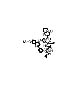 C=C[C@H]1C[C@]1(NC(=O)[C@@H]1C[C@@H](Oc2cc(-c3ccccc3)nc3cc(OC)ccc23)CN1C(=O)C(CC(=O)N1CCCCC1)C(C)C)C(=O)NS(=O)(=O)C1CC1